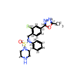 [O-][S+](N1CCNCC1)N(Cc1ccc(-c2nnc(C(F)(F)F)o2)cc1F)c1ccccc1